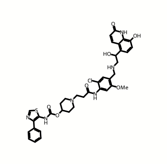 COc1cc(NC(=O)CCN2CCC(OC(=O)Nc3scnc3-c3ccccc3)CC2)c(Cl)cc1CNCC(O)c1ccc(O)c2[nH]c(=O)ccc12